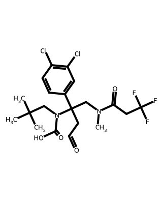 CN(CC(CC=O)(c1ccc(Cl)c(Cl)c1)N(CC(C)(C)C)C(=O)O)C(=O)CC(F)(F)F